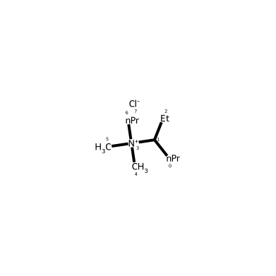 CCCC(CC)[N+](C)(C)CCC.[Cl-]